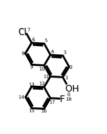 Oc1ccc2cc(Cl)ccc2c1-c1ccccc1F